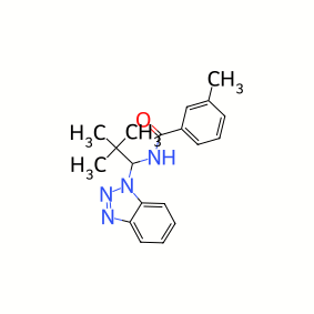 Cc1cccc(C(=O)NC(n2nnc3ccccc32)C(C)(C)C)c1